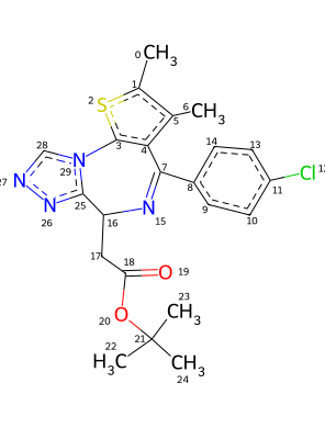 Cc1sc2c(c1C)C(c1ccc(Cl)cc1)=NC(CC(=O)OC(C)(C)C)c1nncn1-2